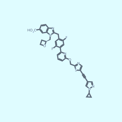 O=C(O)c1ccc2nc(Cc3cc(F)c(-c4cccc(OCc5ncc(C#Cc6cnn(C7CC7)c6)s5)n4)cc3F)n(C[C@@H]3CCO3)c2c1